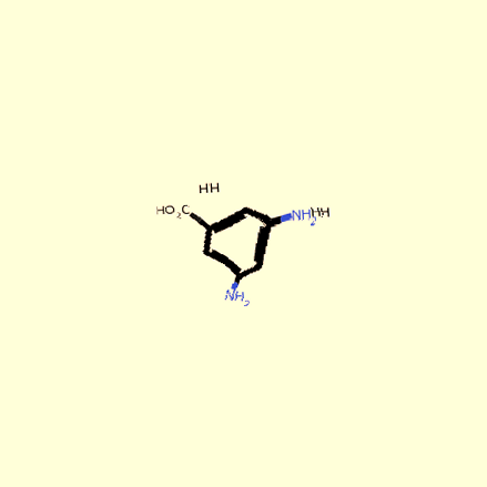 Nc1cc(N)cc(C(=O)O)c1.[HH].[HH]